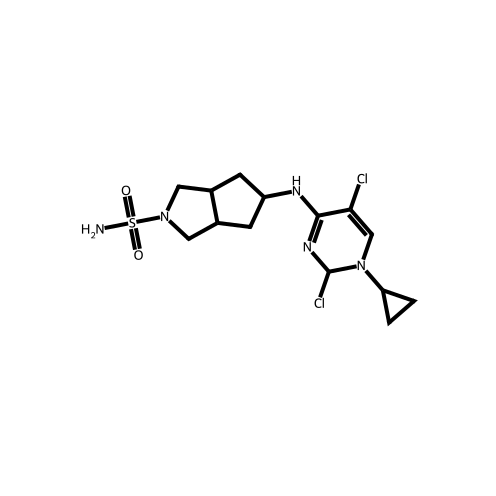 NS(=O)(=O)N1CC2CC(NC3=NC(Cl)N(C4CC4)C=C3Cl)CC2C1